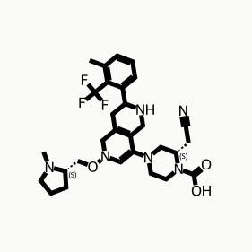 Cc1cccc(C2CC3=C(CN2)C(N2CCN(C(=O)O)[C@@H](CC#N)C2)=CN(OC[C@@H]2CCCN2C)C3)c1C(F)(F)F